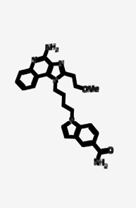 COCCc1nc2c(N)nc3ccccc3c2n1CCCCn1ccc2cc(C(N)=O)ccc21